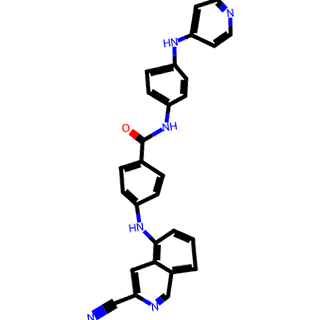 N#Cc1cc2c(Nc3ccc(C(=O)Nc4ccc(Nc5ccncc5)cc4)cc3)cccc2cn1